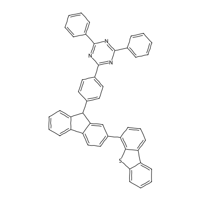 c1ccc(-c2nc(-c3ccccc3)nc(-c3ccc(C4c5ccccc5-c5ccc(-c6cccc7c6sc6ccccc67)cc54)cc3)n2)cc1